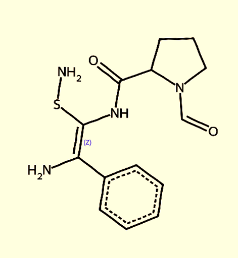 NS/C(NC(=O)C1CCCN1C=O)=C(\N)c1ccccc1